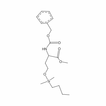 CCCC[Si](C)(C)OCCC(NC(=O)OCc1ccccc1)C(=O)OC